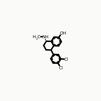 CN[C@H]1CCC(c2ccc(Cl)c(Cl)c2)c2ccc(O)cc21